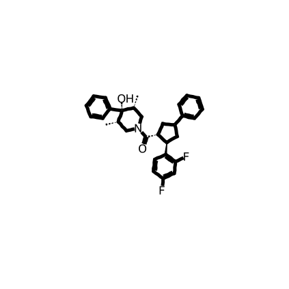 C[C@@H]1CN(C(=O)[C@@H]2CC(c3ccccc3)C[C@H]2c2ccc(F)cc2F)C[C@H](C)[C@@]1(O)c1ccccc1